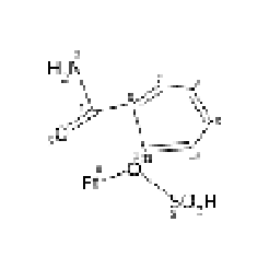 CCOS(=O)(=O)O.NC(=O)c1ccccc1